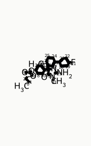 CCCS(=O)(=O)Oc1ccc(C2([C@]3(OC)C=C(c4ccc(F)cc4)C=CC3)N=C(N)N(C)C2=O)cc1